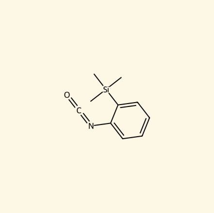 C[Si](C)(C)c1ccccc1N=C=O